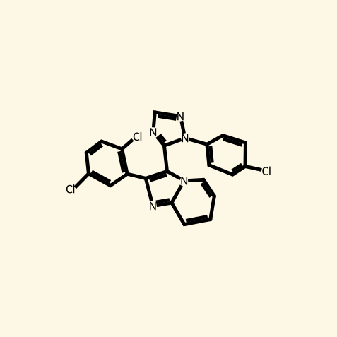 Clc1ccc(-n2ncnc2-c2c(-c3cc(Cl)ccc3Cl)nc3ccccn23)cc1